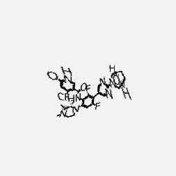 C[C@H]1CN(c2cc(F)c(-c3cnc(N4C[C@H]5CC[C@@H](C4)O5)nc3)c(F)c2NC(=O)c2c[nH]c(=O)cc2C(F)(F)F)CCN1C